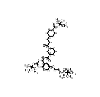 CC(C)(C)OC(=O)C[C@H](NC(=O)[C@@H]1CCCN(C(=O)CCC2CCN(C(=O)OC(C)(C)C)CC2)C1)c1cncc(OCCO[Si](C)(C)C(C)(C)C)c1